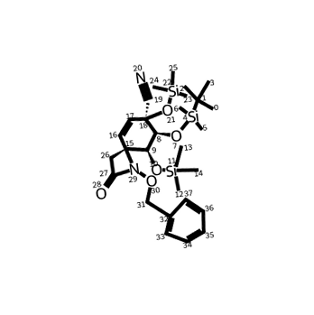 CC(C)(C)[Si](C)(C)O[C@H]1[C@@H](O[Si](C)(C)C)[C@]2(C=C[C@@]1(C#N)O[Si](C)(C)C)CC(=O)N2OCc1ccccc1